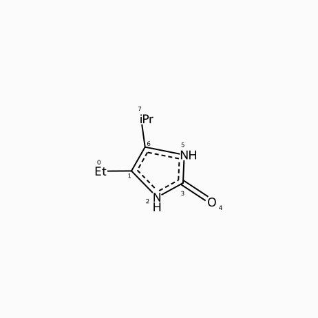 CCc1[nH]c(=O)[nH]c1C(C)C